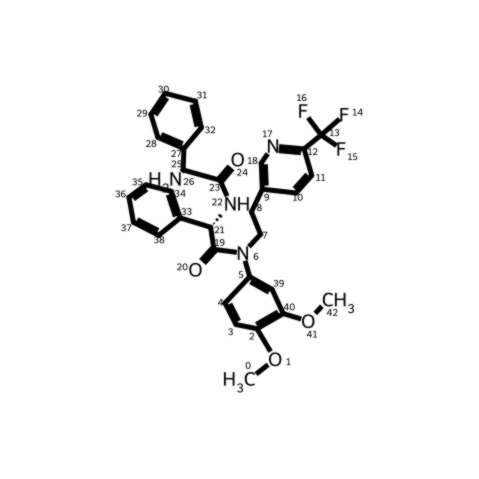 COc1ccc(N(CCc2ccc(C(F)(F)F)nc2)C(=O)[C@@H](NC(=O)C(N)c2ccccc2)c2ccccc2)cc1OC